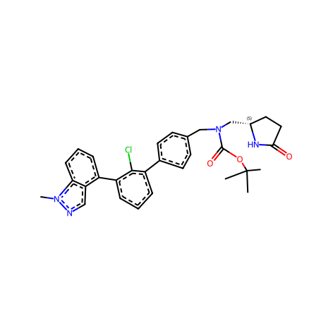 Cn1ncc2c(-c3cccc(-c4ccc(CN(C[C@@H]5CCC(=O)N5)C(=O)OC(C)(C)C)cc4)c3Cl)cccc21